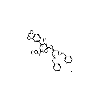 O=C(O)C[C@H](NC(=O)O[C@H](COCc1ccccc1)CSCc1ccccc1)c1ccc2c(c1)OCO2